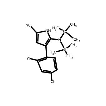 C[Si](C)(C)N(c1[nH]c(C#N)cc1-c1ccc(Cl)cc1Cl)[Si](C)(C)C